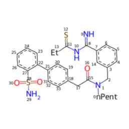 CCCCCN(Cc1cccc(C(=N)NC(=S)CC)c1)C(=O)Cc1ccc(-c2ccccc2S(N)(=O)=O)cc1